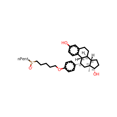 CCCCC[S+]([O-])CCCCCOc1ccc([C@H]2C[C@]3(C)[C@@H](O)CC[C@H]3[C@@H]3CCc4cc(O)ccc4[C@H]32)cc1